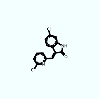 O=C1Nc2cc(Cl)ccc2/C1=C\c1cccc(Cl)n1